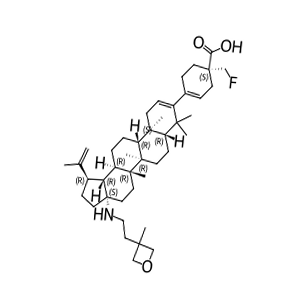 C=C(C)[C@@H]1CC[C@]2(NCCC3(C)COC3)CC[C@]3(C)[C@H](CC[C@@H]4[C@@]5(C)CC=C(C6=CC[C@](CF)(C(=O)O)CC6)C(C)(C)[C@@H]5CC[C@]43C)[C@@H]12